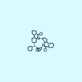 O=c1c2ccccc2c2ccc3cc2n1-c1ccc2c4ccccc4c(=O)n(c2c1)-c1cccc(c1Cl)C3c1ccccc1